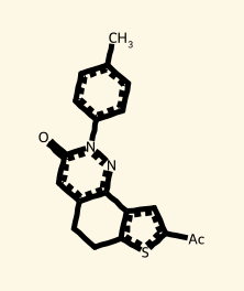 CC(=O)c1cc2c(s1)CCc1cc(=O)n(-c3ccc(C)cc3)nc1-2